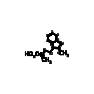 Cc1sc2ccccc2c1CCN(C)C(=O)O